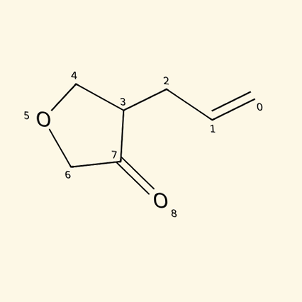 C=CCC1COCC1=O